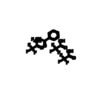 O=C(NC(F)(F)F)c1ccccc1.O=C(O)C(F)(F)F.O=C(O)C(F)(F)F.O=C(O)C(F)(F)F